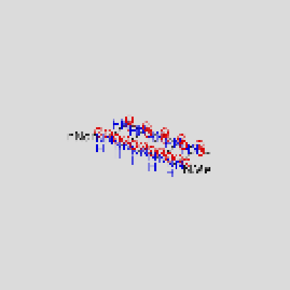 C=CCOC(=O)NCCCCCC(=O)N(CCNC(=O)CN(CCNC(=O)CN(CCNC(=O)CN(CCNC(=O)CN(CCNC(=O)CCCCCCCCC)C(=O)CCCCCNC(=O)OCC=C)C(=O)CCCCCNC(=O)OCC=C)C(=O)CCCCCNC(=O)OCC=C)C(=O)CCCCCNC(=O)OCC=C)CC(=O)NC